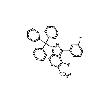 O=C(O)c1ccc2c(c(-c3cccc(F)c3)nn2C(c2ccccc2)(c2ccccc2)c2ccccc2)c1F